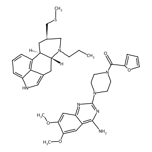 CCCN1C[C@H](CSC)C[C@@H]2c3cccc4[nH]cc(c34)C[C@H]21.COc1cc2nc(N3CCN(C(=O)c4ccco4)CC3)nc(N)c2cc1OC